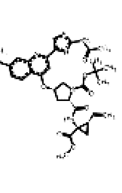 C=C[C@H]1C[C@]1(NC(=O)[C@@H]1C[C@@H](Oc2cc(-c3csc(NC(C)=O)n3)nc3cc(OC)ccc23)CN1C(=O)OC(C)(C)C)C(=O)OC